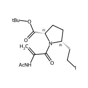 C=C(NC(C)=O)C(=O)N1[C@@H](CCI)CC[C@H]1C(=O)OC(C)(C)C